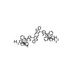 C[Si]1(C)c2ccccc2N(c2ccc(C3=c4cc5c(cc4SC3=O)=C(c3ccc(N4c6ccccc6[Si](C)(C)c6ccccc64)s3)C(=O)S5)s2)c2ccccc21